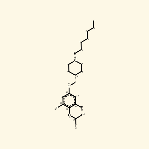 CCCCCCC[Si@H]1CC[C@H](COc2cc(F)c(OC(F)F)c(F)c2)CC1